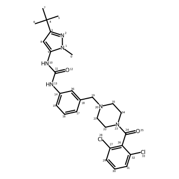 Cn1nc(C(C)(C)C)cc1NC(=O)Nc1cccc(CN2CCN(C(=O)c3c(Cl)cccc3Cl)CC2)c1